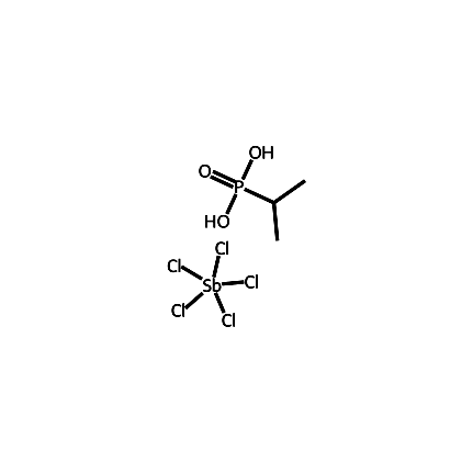 CC(C)P(=O)(O)O.[Cl][Sb]([Cl])([Cl])([Cl])[Cl]